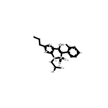 CCCc1nc2c(s1)C(O)=C(c1ccccc1C)S(=O)(=O)N2CC(F)F